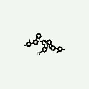 Cc1ccc(-c2ccc3c(c2)c2ccccc2n3-c2ccnc(-c3cc(C#N)ccc3-n3c4ccccc4c4cc(-c5ccc(C)cc5C)ccc43)c2)c(C)c1